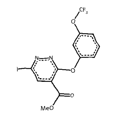 COC(=O)c1cc(I)nnc1Oc1cccc(OC(F)(F)F)c1